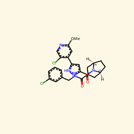 COc1cc(-c2cc(C(=O)N3[C@@H]4CC[C@H]3CC(C(=O)NCc3cccc(Cl)c3)C4)n[nH]2)c(Cl)cn1